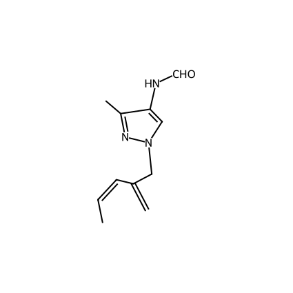 C=C(/C=C\C)Cn1cc(NC=O)c(C)n1